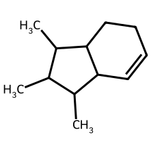 CC1C(C)C2C=CCCC2C1C